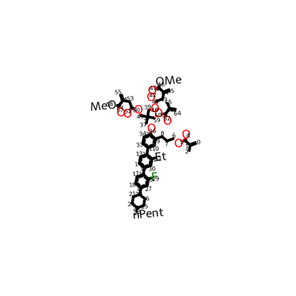 C=C(C)C(=O)OCCCc1cc(-c2ccc(-c3ccc(C4CCC(CCCCC)CC4)cc3F)cc2CC)ccc1OCC(COC(=O)CC(=C)C(=O)OC)(COC(=O)CC(=C)C(=O)OC)COC(=O)C(=C)C